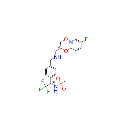 COC[C@H](CNCc1ccc([C@H](NS(C)(=O)=O)C(F)(F)F)cc1)Oc1ccc(F)cn1